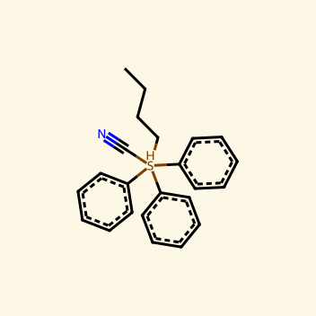 CCCC[SH](C#N)(c1ccccc1)(c1ccccc1)c1ccccc1